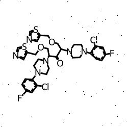 O=C(C(COCc1cncs1)N1CCN(c2ccc(F)cc2Cl)CC1)C(COCc1cncs1)N1CCN(c2ccc(F)cc2Cl)CC1